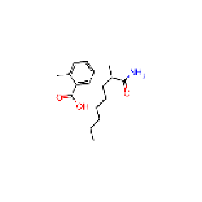 CCCCCCC(C)C(N)=O.Cc1ccccc1C(=O)O